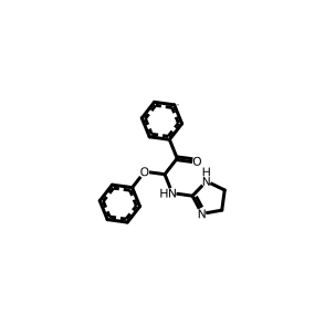 O=C(c1c[c]ccc1)C(NC1=NCCN1)Oc1ccccc1